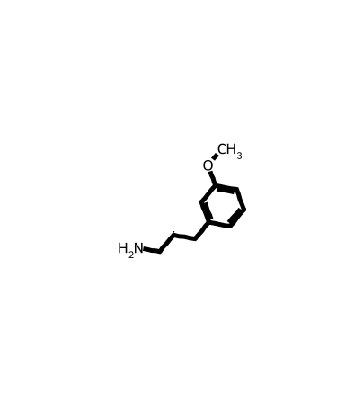 COc1cccc(C[CH]CN)c1